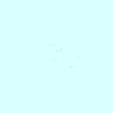 C/C=C(/C)c1ccc(N(C)C(C)(C)C)cc1